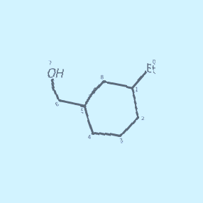 [CH2]CC1CCCC(CO)C1